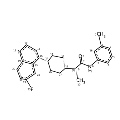 Cc1cccc(NC(=O)[C@H](C)[C@H]2CC[C@@H](c3ccnc4ccc(F)cc43)CC2)c1